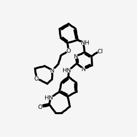 O=C1CCCc2ccc(Nc3ncc(Cl)c(Nc4ccccc4OCCN4CCOCC4)n3)cc2N1